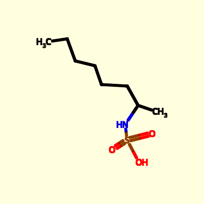 CCCCCCC(C)NS(=O)(=O)O